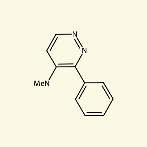 CNc1ccnnc1-c1ccccc1